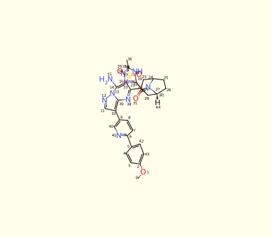 COc1ccc(-c2ccc(-c3cnn4c(N)c(S(C)(=O)=O)c(C5CC6CC[C@H](C5)N6C(=O)c5nnc(C)[nH]5)nc34)cn2)cc1